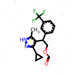 Cc1[nH]nc(C2CC2)c1C(COC=O)c1cccc(C(F)(F)F)c1